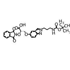 CC(C)(C)OC(=O)NCCCn1cc2cc(OC[C@H](ON3C(=O)c4ccccc4C3=O)C(=O)O)ccc2n1